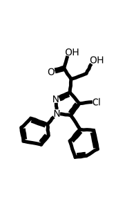 O=C(O)C(CO)c1nn(-c2ccccc2)c(-c2ccccc2)c1Cl